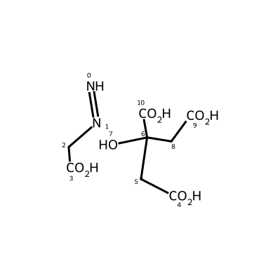 N=NCC(=O)O.O=C(O)CC(O)(CC(=O)O)C(=O)O